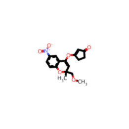 COCC1(C)C=C(OC2=CC(=O)CC2)c2cc([N+](=O)[O-])ccc2O1